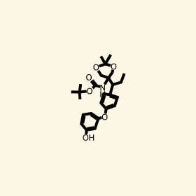 CCC(c1ccc(Oc2cccc(O)c2)cc1)C1(NC(=O)OC(C)(C)C)COC(C)(C)OC1